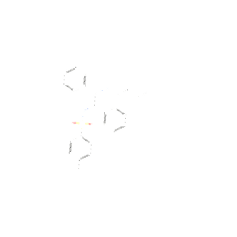 BCCCCN[C@H](c1ccccc1)[C@H](NS(=O)(=O)c1ccc(C)cc1)c1ccccc1